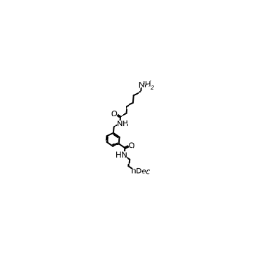 CCCCCCCCCCCCNC(=O)c1cccc(CNC(=O)CCCCCN)c1